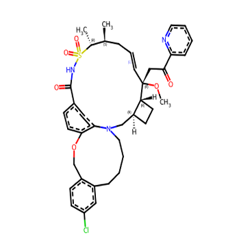 CO[C@@]1(CC(=O)c2ccccn2)/C=C/C[C@H](C)[C@@H](C)S(=O)(=O)NC(=O)c2ccc3c(c2)N(CCCCc2cc(Cl)ccc2CO3)C[C@@H]2CC[C@H]21